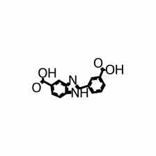 O=C(O)c1cccc(-c2nc3cc(C(=O)O)ccc3[nH]2)c1